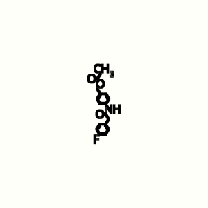 CCC(=O)OCc1ccc(NC(=O)Cc2ccc(F)cc2)cc1